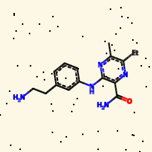 CCc1nc(C(N)=O)c(Nc2cccc(CCN)c2)nc1C